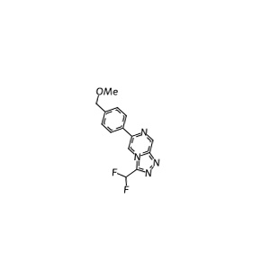 COCc1ccc(-c2cn3c(C(F)F)nnc3cn2)cc1